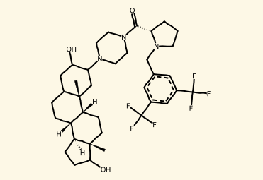 C[C@]12CC(N3CCN(C(=O)[C@@H]4CCCN4Cc4cc(C(F)(F)F)cc(C(F)(F)F)c4)CC3)C(O)CC1CC[C@@H]1[C@H]2CC[C@]2(C)C(O)CC[C@@H]12